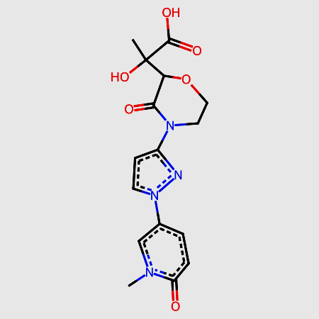 Cn1cc(-n2ccc(N3CCOC(C(C)(O)C(=O)O)C3=O)n2)ccc1=O